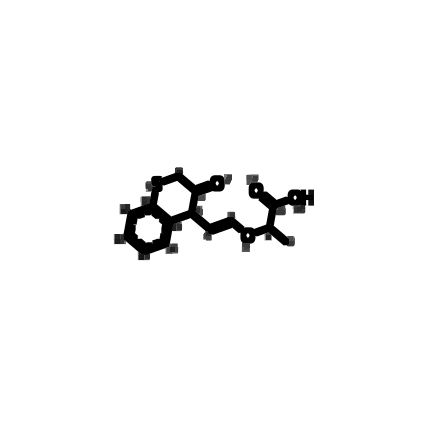 CC(OC=CC1C(=O)CSc2ccccc21)C(=O)O